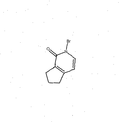 O=c1c2c(ccn1Br)CCC2